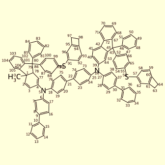 CC12C=CC(N(c3ccc(-c4ccccc4)cc3)c3ccc(-c4ccc(N(c5ccc(-c6ccccc6)cc5)c5ccc6c(c5)C(c5ccccc5)(c5ccc(Sc7ccc8c(c7)CC8)cc5)c5ccccc5-6)cc4)cc3)=CC1C(c1ccccc1)(c1ccc(Sc3ccc4c(c3)CC4)cc1)c1ccccc12